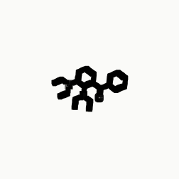 C=CN(C=C)c1cccc(C(=O)c2ccccc2)c1N(C=C)C=C